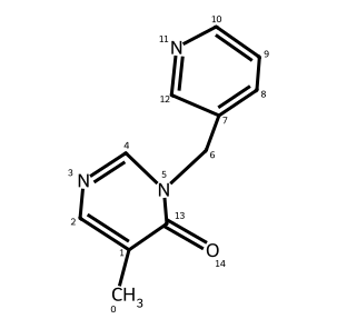 Cc1cncn(Cc2cccnc2)c1=O